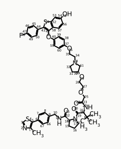 Cc1ncsc1-c1ccc(CNC(=O)[C@@H]2CCCN2C(=O)[C@@H](NC(=O)COCCO[C@@H]2CCN(CCOc3ccc(Oc4c(-c5ccc(F)cc5)sc5cc(O)ccc45)cc3)C2)C(C)(C)C)cc1